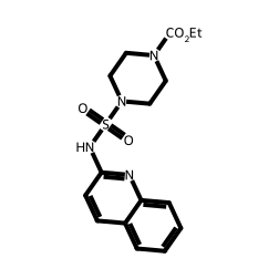 CCOC(=O)N1CCN(S(=O)(=O)Nc2ccc3ccccc3n2)CC1